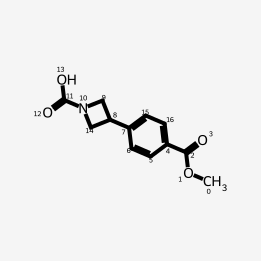 COC(=O)c1ccc(C2CN(C(=O)O)C2)cc1